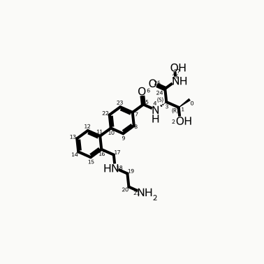 C[C@@H](O)[C@H](NC(=O)c1ccc(-c2ccccc2CNCCN)cc1)C(=O)NO